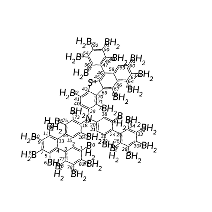 Bc1cc(-c2c(B)c(B)c(B)c(B)c2-c2cc(B)c(N(c3cc(B)c(-c4c(B)c(B)c(B)c(B)c4B)c(B)c3)c3cc(B)c4sc5c(-c6c(B)c(B)c(B)c(B)c6B)c6cc(B)c(B)c(B)c6c(B)c5c4c3B)c(B)c2B)c(B)c(B)c1B